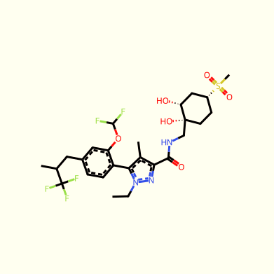 CCn1nc(C(=O)NC[C@]2(O)CC[C@@H](S(C)(=O)=O)C[C@H]2O)c(C)c1-c1ccc(CC(C)C(F)(F)F)cc1OC(F)F